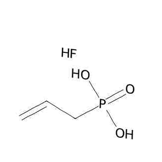 C=CCP(=O)(O)O.F